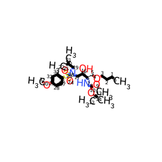 CCCCOC[C@H](NC(=O)OC(C)(C)C)[C@H](O)CN(CC(C)C)S(=O)(=O)c1ccc(OC)cc1